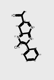 CC(=O)c1cnc2nc(-c3ccccc3)c(Cl)nc2c1